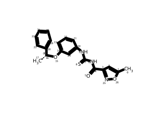 Cc1cc(C(=O)NC(=S)Nc2cccc(O[C@H](C)c3ccccc3)c2)no1